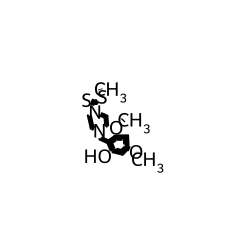 COc1cc(O)c(CN2CCN(C(=S)SC)CC2)c(OC)c1